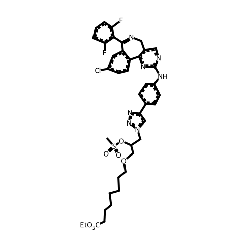 CCOC(=O)CCCCCCCOCC(Cn1cc(-c2ccc(Nc3ncc4c(n3)-c3ccc(Cl)cc3C(c3c(F)cccc3F)=NC4)cc2)nn1)OS(C)(=O)=O